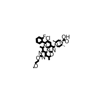 COCCOc1nc(C(C)C)c(-n2c(=O)nc(N3C[C@@H](C)N(C(=O)O)C[C@@H]3C)c3cc(Cl)c(-c4ccccc4F)nc32)c(C(C)C)n1